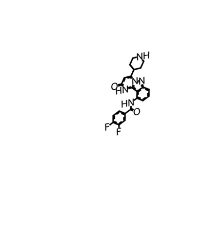 O=C(Nc1cccc2nn3c(C4CCNCC4)cc(=O)[nH]c3c12)c1ccc(F)c(F)c1